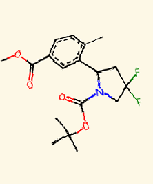 COC(=O)c1ccc(C)c(C2CC(F)(F)CN2C(=O)OC(C)(C)C)c1